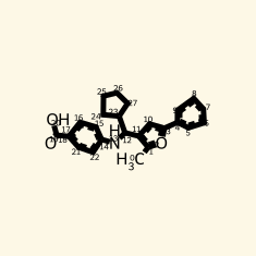 Cc1oc(-c2ccccc2)cc1C(Nc1ccc(C(=O)O)cc1)C1CCCC1